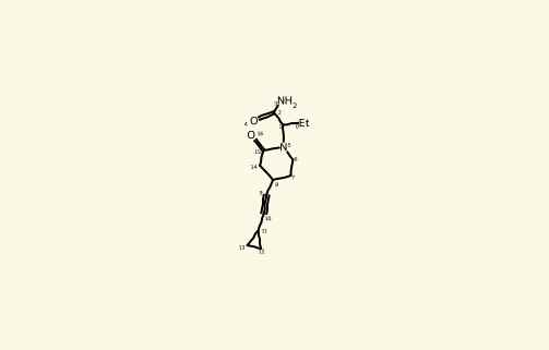 CCC(C(N)=O)N1CCC(C#CC2CC2)CC1=O